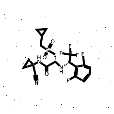 N#CC1(NC(=O)[C@H](CS(=O)(=O)CC2CC2)N[C@@H](c2c(F)cccc2F)C(F)(F)F)CC1